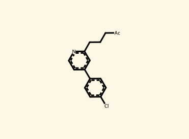 CC(=O)CCCc1cc(-c2ccc(Cl)cc2)ccn1